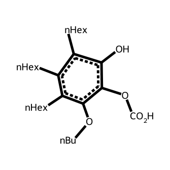 CCCCCCc1c(O)c(OC(=O)O)c(OCCCC)c(CCCCCC)c1CCCCCC